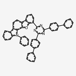 c1ccc(-c2ccc(-c3nc(-c4ccc(-c5ccccc5)cc4)nc(-c4cccc5c4oc4c5ccc5c6ccccc6n(-c6ccccc6)c54)n3)cc2)cc1